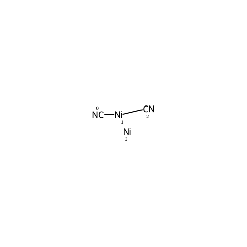 N#[C][Ni][C]#N.[Ni]